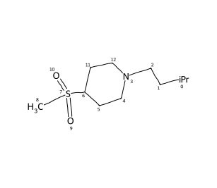 CC(C)CCN1CCC(S(C)(=O)=O)CC1